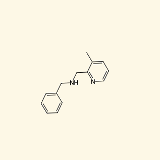 Cc1cccnc1CNCc1ccccc1